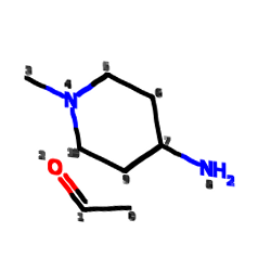 CC=O.CN1CCC(N)CC1